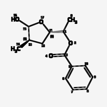 CC(OC(=O)c1ccccc1)[C@@H]1C[C@@H](C)C(O)O1